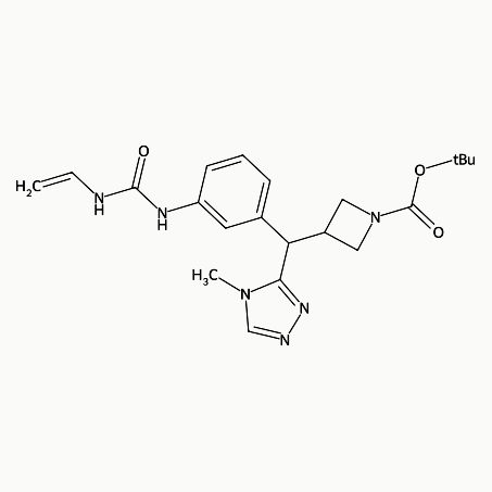 C=CNC(=O)Nc1cccc(C(c2nncn2C)C2CN(C(=O)OC(C)(C)C)C2)c1